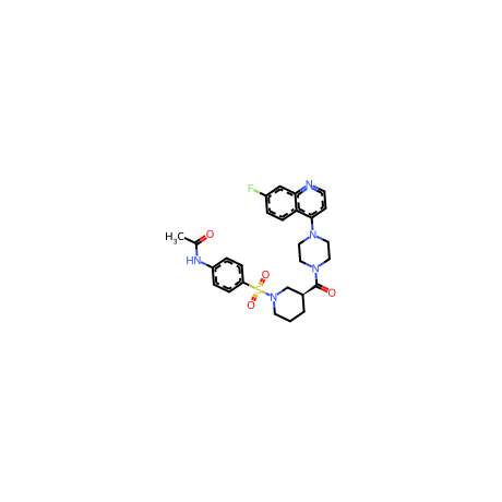 CC(=O)Nc1ccc(S(=O)(=O)N2CCC[C@H](C(=O)N3CCN(c4ccnc5cc(F)ccc45)CC3)C2)cc1